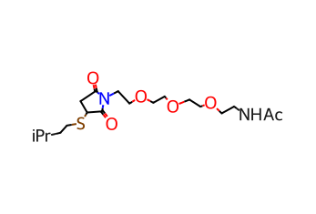 CC(=O)NCCOCCOCCOCCN1C(=O)CC(SCCC(C)C)C1=O